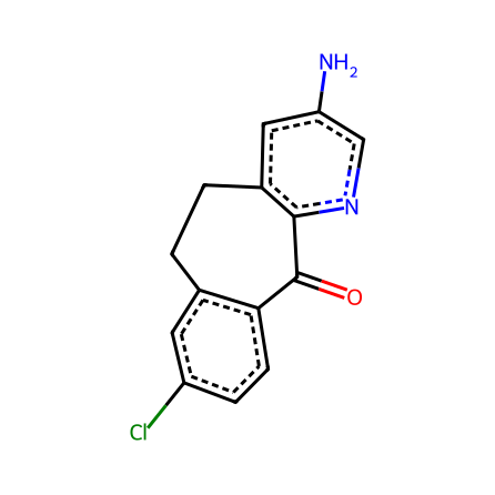 Nc1cnc2c(c1)CCc1cc(Cl)ccc1C2=O